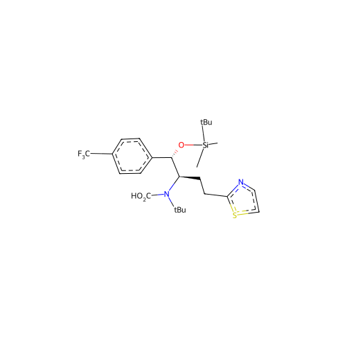 CC(C)(C)N(C(=O)O)[C@H](CCc1nccs1)[C@@H](O[Si](C)(C)C(C)(C)C)c1ccc(C(F)(F)F)cc1